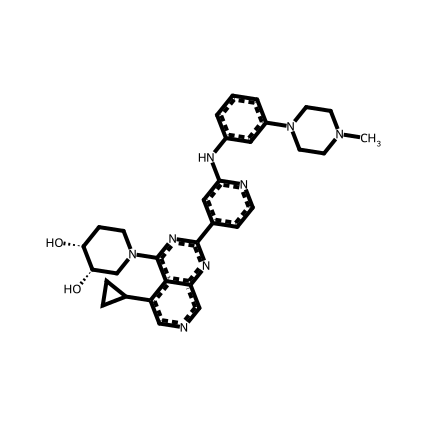 CN1CCN(c2cccc(Nc3cc(-c4nc(N5CC[C@@H](O)[C@@H](O)C5)c5c(C6CC6)cncc5n4)ccn3)c2)CC1